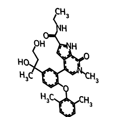 CCNC(=O)c1cc2c(-c3cc(C(C)(O)CCO)ccc3Oc3c(C)cccc3C)cn(C)c(=O)c2[nH]1